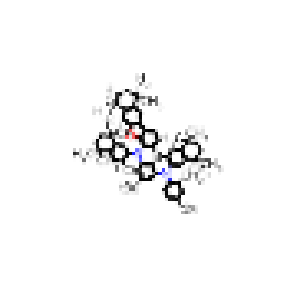 Cc1cc(C(C)(C)C)ccc1N1c2cc3c(cc2B2c4ccc5c(oc6cc7c(cc65)C(C)(C)CCC7(C)C)c4N(c4cc5c(cc4C)C(C)(C)CCC5(C)C)c4cc(C(C)(C)C)cc1c42)C(C)(C)CCC3(C)C